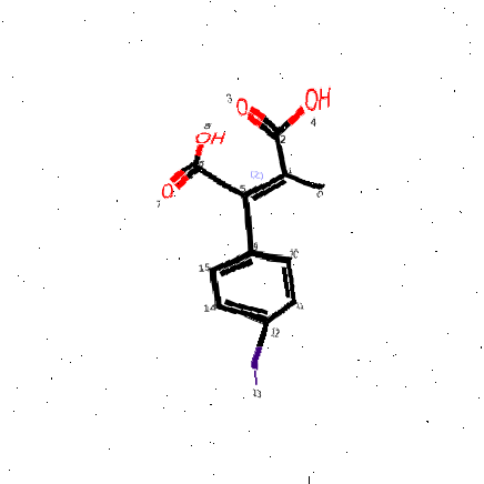 C/C(C(=O)O)=C(/C(=O)O)c1ccc(I)cc1